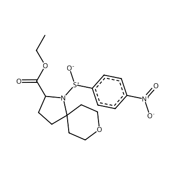 CCOC(=O)C1CCC2(CCOCC2)N1[S+]([O-])c1ccc([N+](=O)[O-])cc1